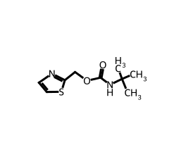 CC(C)(C)NC(=O)OCc1nccs1